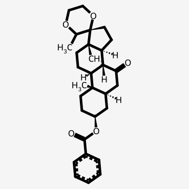 CC1OCCO[C@@]12CC[C@H]1[C@@H]3C(=O)C[C@H]4C[C@@H](OC(=O)c5ccccc5)CC[C@]4(C)[C@H]3CC[C@@]12C